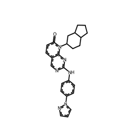 O=c1ccc2cnc(Nc3ccc(-n4cccn4)cc3)nc2n1C1CCC2CCCC2C1